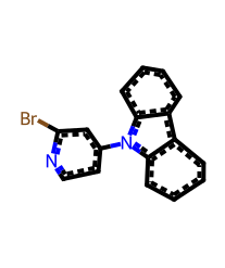 Brc1cc(-n2c3ccccc3c3ccccc32)ccn1